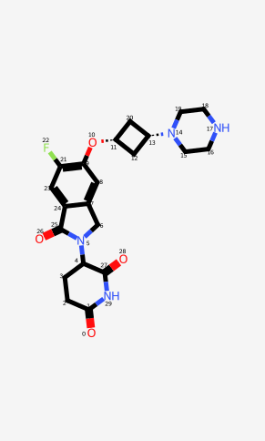 O=C1CCC(N2Cc3cc(O[C@H]4C[C@@H](N5CCNCC5)C4)c(F)cc3C2=O)C(=O)N1